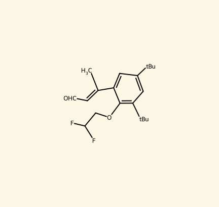 CC(=CC=O)c1cc(C(C)(C)C)cc(C(C)(C)C)c1OCC(F)F